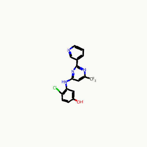 Oc1ccc(Cl)c(Nc2cc(C(F)(F)F)nc(-c3cccnc3)n2)c1